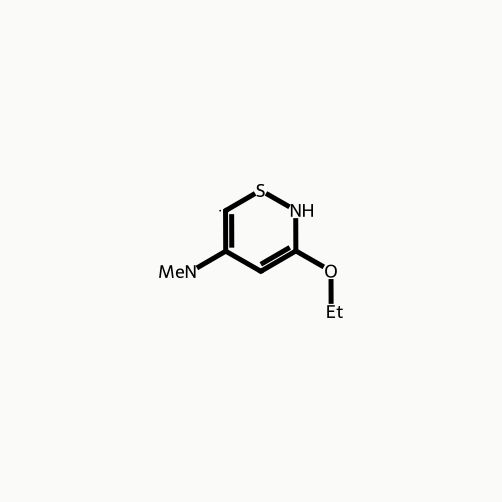 CCOC1=CC(NC)=[C]SN1